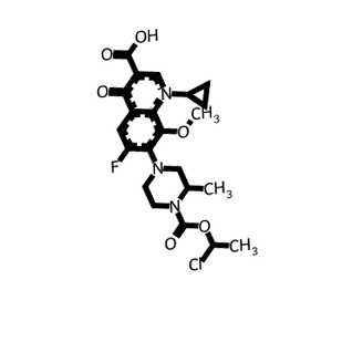 COc1c(N2CCN(C(=O)OC(C)Cl)C(C)C2)c(F)cc2c(=O)c(C(=O)O)cn(C3CC3)c12